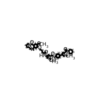 COc1cc2c(cc1OCCCC(=O)Nc1cc(C(=O)Nc3ccc(-c4cc(C(=O)N5CCCCC5)n(C)c4)cc3)n(C)c1)N=CC1CCCN1C2=O